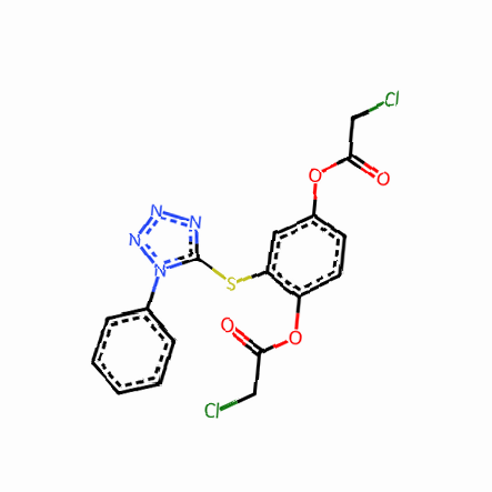 O=C(CCl)Oc1ccc(OC(=O)CCl)c(Sc2nnnn2-c2ccccc2)c1